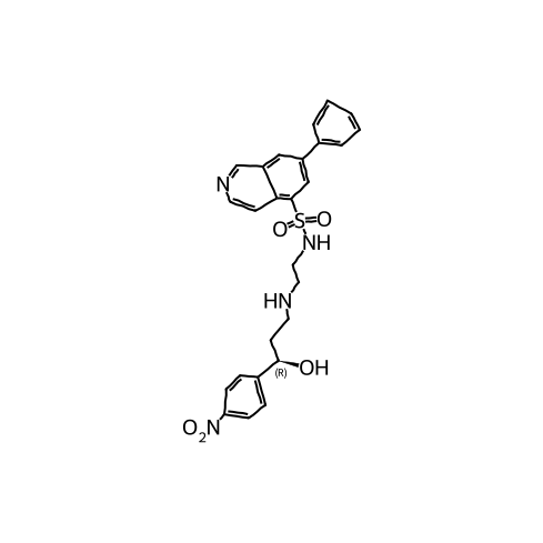 O=[N+]([O-])c1ccc([C@H](O)CCNCCNS(=O)(=O)c2cc(-c3ccccc3)cc3cnccc23)cc1